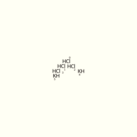 Cl.Cl.Cl.Cl.[KH].[KH]